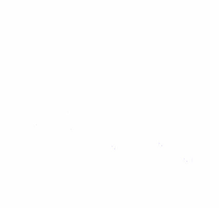 CCSCCOC(=O)/C(=N\OCC(=O)OC(C)(C)C)c1csc(N)n1